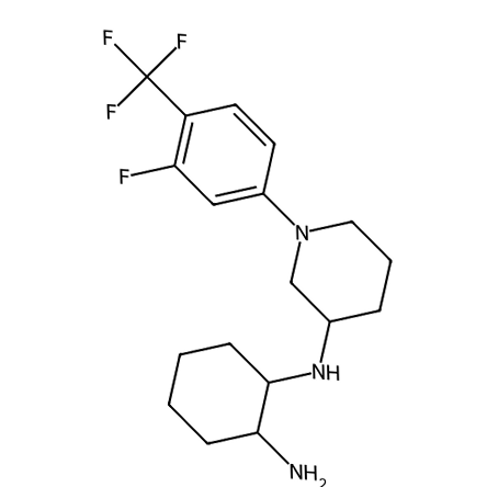 NC1CCCCC1NC1CCCN(c2ccc(C(F)(F)F)c(F)c2)C1